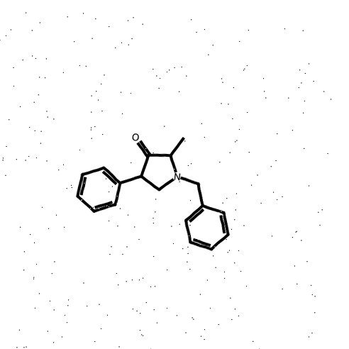 CC1C(=O)C(c2ccccc2)CN1Cc1ccccc1